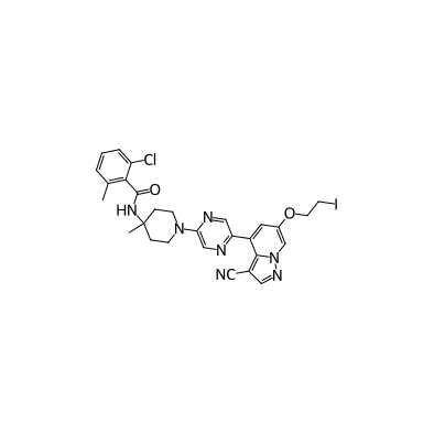 Cc1cccc(Cl)c1C(=O)NC1(C)CCN(c2cnc(-c3cc(OCCI)cn4ncc(C#N)c34)cn2)CC1